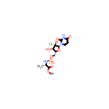 CC(C)OC(=O)[C@H](C)N[PH](=O)OC[C@H]1O[C@@H](n2ccc(=O)[nH]c2=O)[C@](Cl)(Br)[C@@H]1O